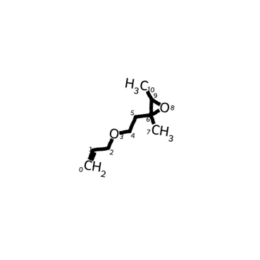 C=CCOCCC1(C)OC1C